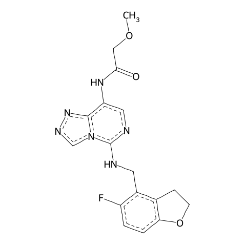 COCC(=O)Nc1cnc(NCc2c(F)ccc3c2CCO3)n2cnnc12